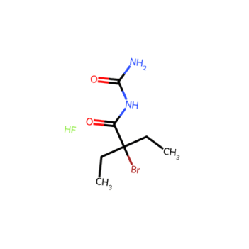 CCC(Br)(CC)C(=O)NC(N)=O.F